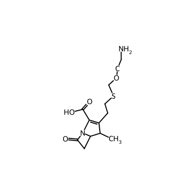 CC1C(CCSCOCCN)=C(C(=O)O)N2C(=O)CC12